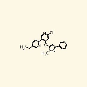 Cn1nc(-c2ccccc2)cc1Oc1cc(Cl)ncc1-c1ccc(CN)cn1